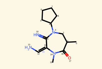 CC1CN(C2CCCC2)C(=N)/C(=C\N)N(C)C1=O